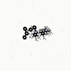 B/C=C(B)/C(B)=C(\C(B)=C\B)c1c(B)c(B)c(B)c(C(=N)/N=C(\N=C\c2cccc3oc4cc(-n5c6ccccc6c6cc(-c7ccccc7)ccc65)ccc4c23)c2c(B)c(B)c(B)c(B)c2B)c1B